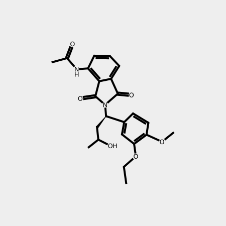 CCOc1cc([C@@H](CC(C)O)N2C(=O)c3cccc(NC(C)=O)c3C2=O)ccc1OC